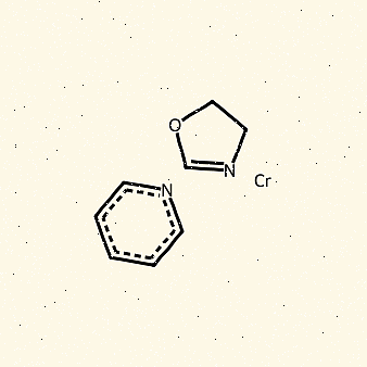 C1=NCCO1.[Cr].c1ccncc1